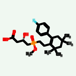 COP(=O)(CCC1=C(c2ccc(F)cc2)CC(C)(C)CC1(C)C)C[C@@H](O)CC(=O)O